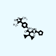 Cc1n[nH]c(C)c1-c1ccc(NC(=O)C(c2nnc(C3CCCC3)[nH]2)C(C2CC2)C2CC2)cc1